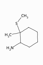 CSC1(C)CCCC[C]1N